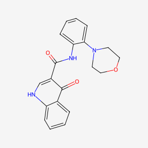 O=C(Nc1ccccc1N1CCOCC1)c1c[nH]c2ccccc2c1=O